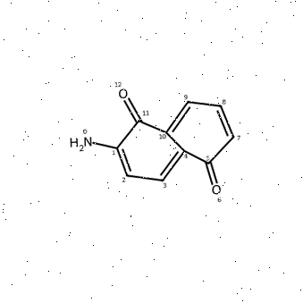 NC1=CC=C2C(=O)C=CC=C2C1=O